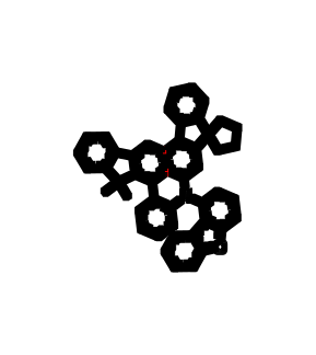 CC1(C)c2ccccc2-c2cccc(-c3ccccc3N(c3ccc4c(c3)C3(CCCC3)c3ccccc3-4)c3cccc4oc5ccccc5c34)c21